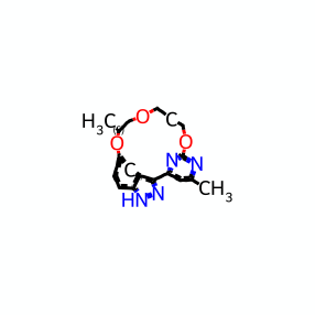 Cc1cc2nc(n1)OCCCOC[C@H](C)Oc1ccc3[nH]nc-2c3c1